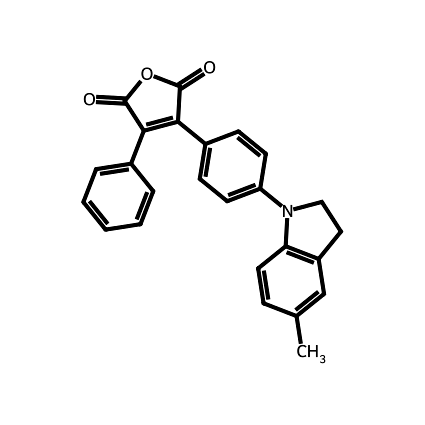 Cc1ccc2c(c1)CCN2c1ccc(C2=C(c3ccccc3)C(=O)OC2=O)cc1